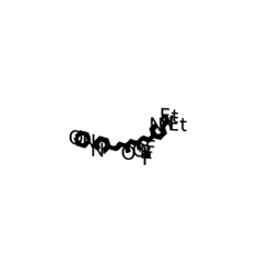 CCN(CC)c1ccc(/C=C/C(=C/C(=O)/C=C/c2ccc(N3CCOCC3)nc2)OB(F)F)cn1